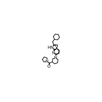 O=C(C1CCCN(c2ccc3nc(CC4CCCCC4)[nH]c3n2)C1)N1CCCC1